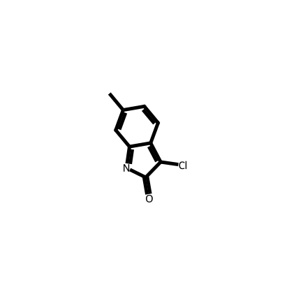 Cc1ccc2c(c1)=NC(=O)C=2Cl